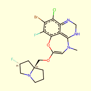 CN1C=C(OC[C@@]23CCCN2C[C@H](F)C3)Oc2c(F)c(Br)c(Cl)c3c2=C1NCN=3